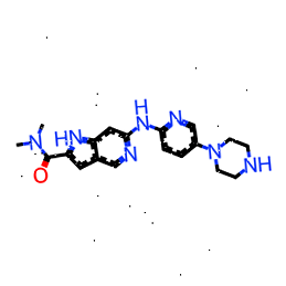 CN(C)C(=O)c1cc2cnc(Nc3ccc(N4CCNCC4)cn3)cc2[nH]1